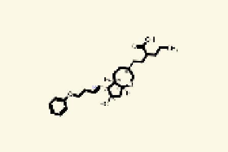 CCCC(CC[C@@H]1CC[C@@H]2[C@@H](/C=C/CCOc3ccccc3)[C@H](O)C[C@@H]2OC1)C(=O)O